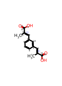 C/C(=C\c1cccc(/C=C(\C)C(=O)O)c1)C(=O)O